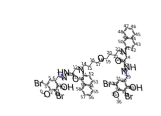 COc1c(Br)cc(/C=N/NC(=O)CN(CCCCOCCCCN(CC(=O)N/N=C/c2cc(Br)c(OC)c(Br)c2O)c2ccc3ccccc3c2)c2ccc3ccccc3c2)c(O)c1Br